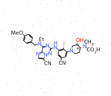 CCN(Cc1ccc(OC)cc1)c1nc(Nc2cc(C#N)cc(N3CC[C@@H](N(C)C(=O)O)[C@@H](O)C3)c2F)nn2c(C#N)cnc12